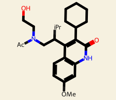 COc1ccc2c(C(CN(CCO)C(C)=O)C(C)C)c(C3CCCCC3)c(=O)[nH]c2c1